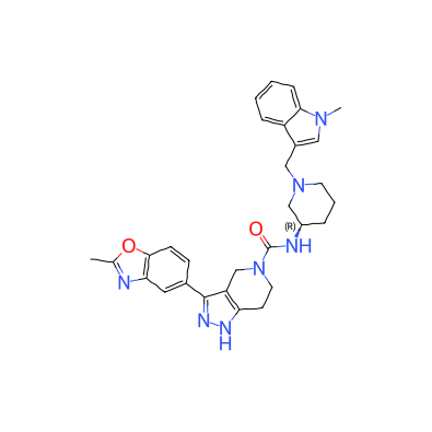 Cc1nc2cc(-c3n[nH]c4c3CN(C(=O)N[C@@H]3CCCN(Cc5cn(C)c6ccccc56)C3)CC4)ccc2o1